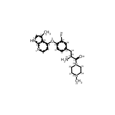 Cc1c[nH]c2nccc(Oc3ccc(C[C@H](N)C(=O)N4CCN(C)CC4)cc3F)c12